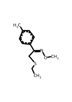 CCSC/C(=N\OC)c1ccc(C)cc1